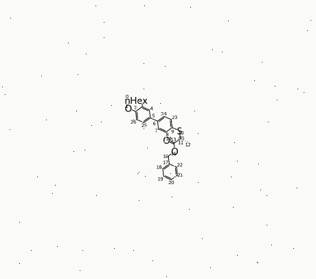 CCCCCCOc1ccc(-c2ccc(S[C@H](C)C(=O)OCc3ccccc3)cc2)cc1